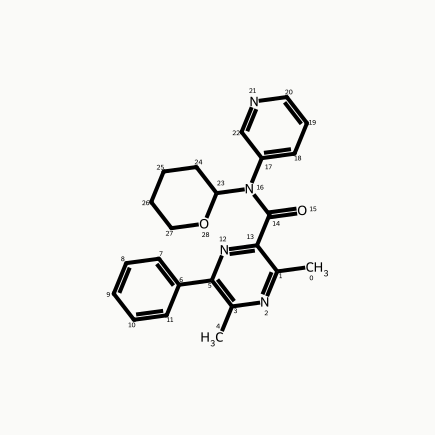 Cc1nc(C)c(-c2ccccc2)nc1C(=O)N(c1cccnc1)C1CCCCO1